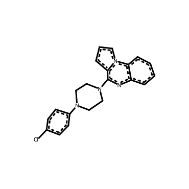 Clc1ccc(N2CCN(c3nc4ccccc4n4cccc34)CC2)cc1